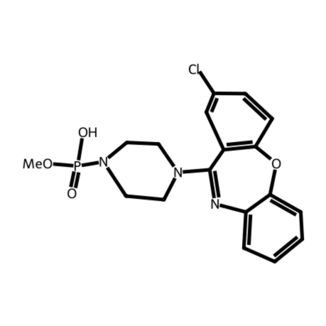 COP(=O)(O)N1CCN(C2=Nc3ccccc3Oc3ccc(Cl)cc32)CC1